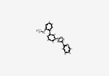 CSc1ccccc1-c1cccc(-n2nnc(-c3ccccn3)n2)c1